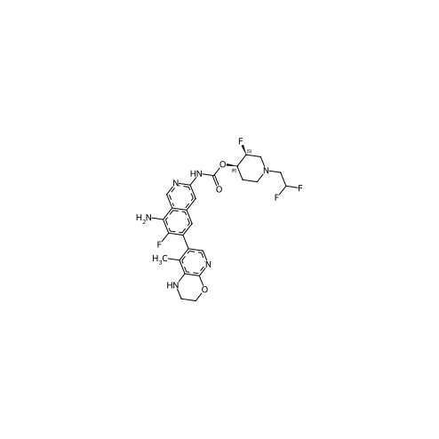 Cc1c(-c2cc3cc(NC(=O)O[C@@H]4CCN(CC(F)F)C[C@@H]4F)ncc3c(N)c2F)cnc2c1NCCO2